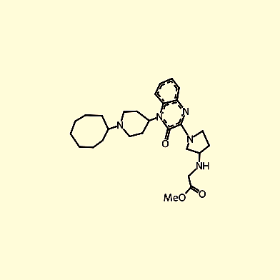 COC(=O)CNC1CCN(c2nc3ccccc3n(C3CCN(C4CCCCCCC4)CC3)c2=O)C1